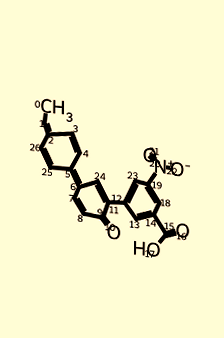 CC=c1ccc(=C2C=CC(=O)C(c3cc(C(=O)O)cc([N+](=O)[O-])c3)=C2)cc1